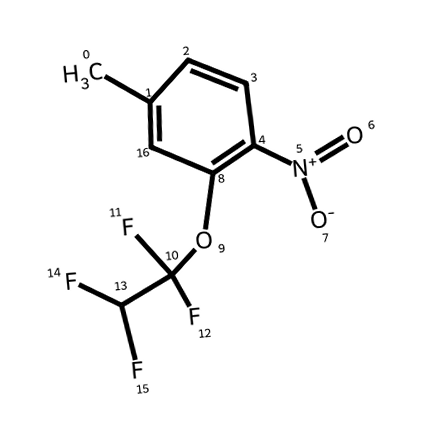 Cc1ccc([N+](=O)[O-])c(OC(F)(F)C(F)F)c1